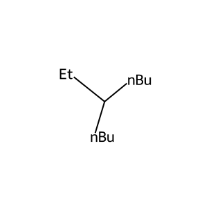 [CH2]CC(CCCC)CCCC